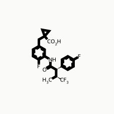 C[C@H]([C@H](C(=O)Nc1cc(CC2(C(=O)O)CC2)ccc1F)c1ccc(F)cc1)C(F)(F)F